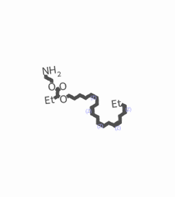 CC/C=C\C/C=C\C/C=C\C/C=C\C/C=C\CCCCOC(CC)C(=O)OCCN